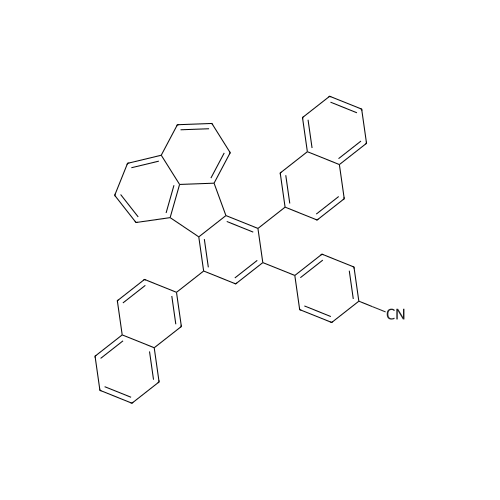 N#Cc1ccc(-c2cc(-c3ccc4ccccc4c3)c3c(c2-c2ccc4ccccc4c2)-c2cccc4cccc-3c24)cc1